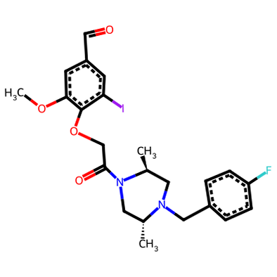 COc1cc(C=O)cc(I)c1OCC(=O)N1C[C@@H](C)N(Cc2ccc(F)cc2)C[C@@H]1C